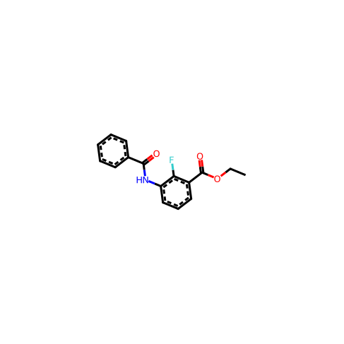 CCOC(=O)c1cccc(NC(=O)c2ccccc2)c1F